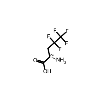 N[C@@H](CC(F)(F)C(F)(F)F)C(=O)O